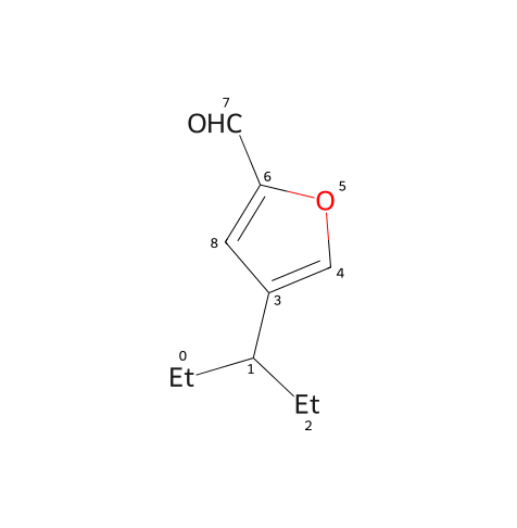 CCC(CC)c1coc(C=O)c1